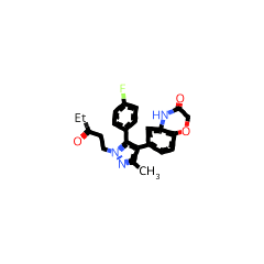 CCC(=O)CCn1nc(C)c(-c2ccc3c(c2)NC(=O)CO3)c1-c1ccc(F)cc1